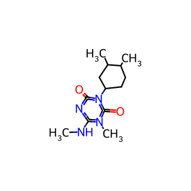 CNc1nc(=O)n(C2CCC(C)C(C)C2)c(=O)n1C